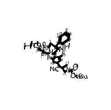 C[C@@H]1Cc2c([nH]c3ccccc23)[C@@H](c2c(F)cc(C(C#N)C3CN(C(=O)OC(C)(C)C)C3)cc2F)N1CC(F)(F)CO